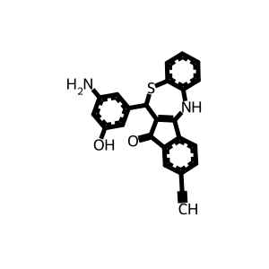 C#Cc1ccc2c(c1)C(=O)C1=C2Nc2ccccc2SC1c1cc(N)cc(O)c1